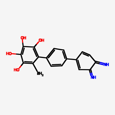 Bc1c(O)c(O)c(O)c(O)c1-c1ccc(C2=CC(=N)C(=N)C=C2)cc1